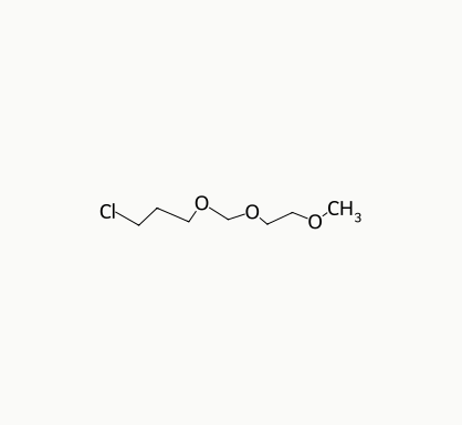 COCCOCOCCCCl